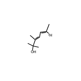 [2H]/C(C)=C\C=C(/C)C(C)(C)O